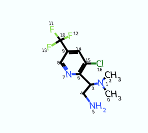 CN(C)C(CN)c1ncc(C(F)(F)F)cc1Cl